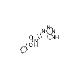 CN(c1ncnc2[nH]ccc12)C1CC(NC(=O)OCc2ccccc2)C1